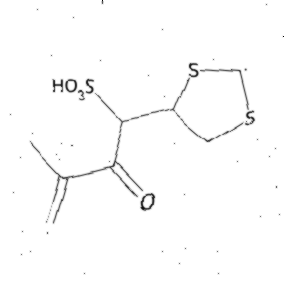 C=C(C)C(=O)C(C1CS[CH]S1)S(=O)(=O)O